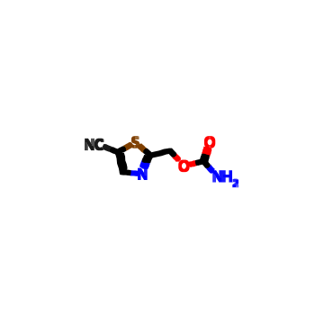 N#Cc1cnc(COC(N)=O)s1